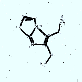 CCc1nc2sccn2c1CC